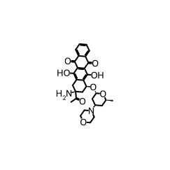 CC(=O)[C@]1(N)Cc2c(O)c3c(c(O)c2[C@@H](O[C@H]2C[C@H](N4CCOCC4)C[C@H](C)O2)C1)C(=O)c1ccccc1C3=O